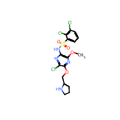 COc1nc(OCC2CCCN2)c(Cl)nc1NS(=O)(=O)c1cccc(Cl)c1Cl